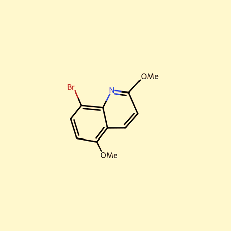 COc1ccc2c(OC)ccc(Br)c2n1